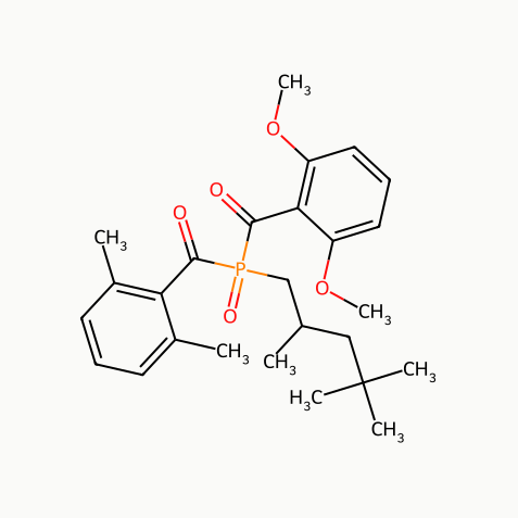 COc1cccc(OC)c1C(=O)P(=O)(CC(C)CC(C)(C)C)C(=O)c1c(C)cccc1C